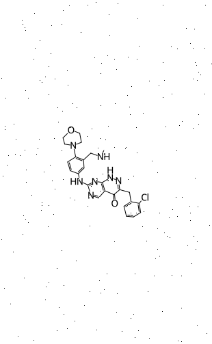 CNCc1cc(Nc2ncc3c(=O)c(Cc4ccccc4Cl)n[nH]c3n2)ccc1N1CCOCC1